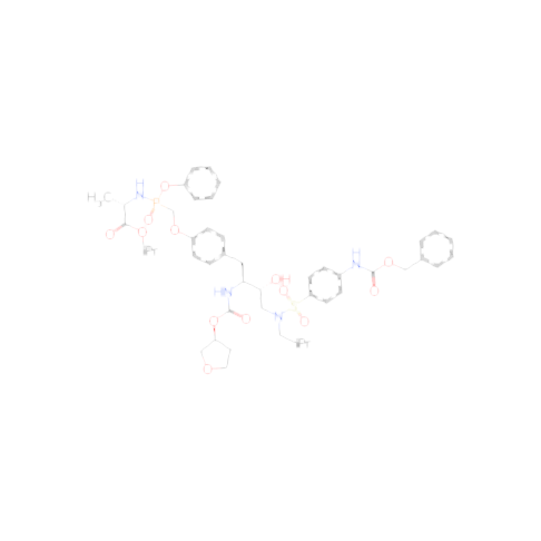 CC(C)CN(C[C@@H](O)[C@H](Cc1ccc(OCP(=O)(N[C@@H](C)C(=O)OC(C)C)Oc2ccccc2)cc1)NC(=O)O[C@H]1CCOC1)S(=O)(=O)c1ccc(NC(=O)OCc2ccccc2)cc1